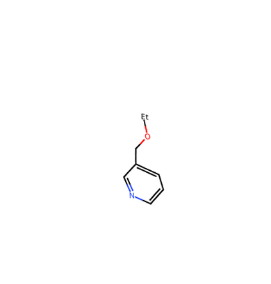 [CH2]COCc1cccnc1